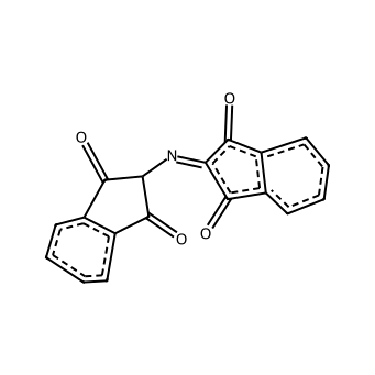 O=C1c2ccccc2C(=O)C1N=c1c(=O)c2ccccc2c1=O